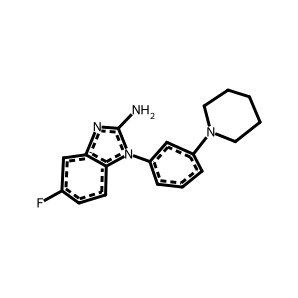 Nc1nc2cc(F)ccc2n1-c1cccc(N2CCCCC2)c1